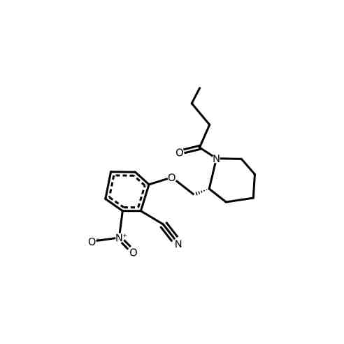 CCCC(=O)N1CCCC[C@@H]1COc1cccc([N+](=O)[O-])c1C#N